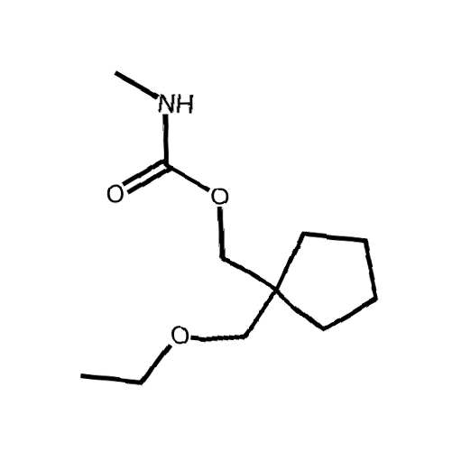 CCOCC1(COC(=O)NC)CCCC1